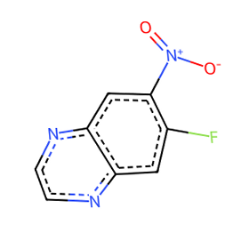 O=[N+]([O-])c1cc2nccnc2cc1F